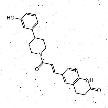 O=C1CCc2cc(/C=C/C(=O)N3CCC(c4cccc(O)c4)CC3)cnc2N1